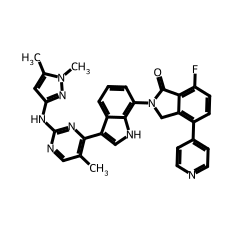 Cc1cnc(Nc2cc(C)n(C)n2)nc1-c1c[nH]c2c(N3Cc4c(-c5ccncc5)ccc(F)c4C3=O)cccc12